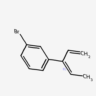 C=C/C(=C\C)c1cccc(Br)c1